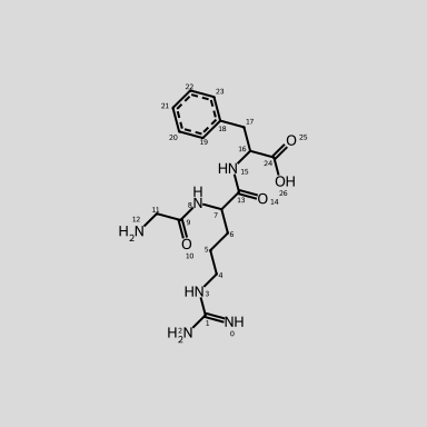 N=C(N)NCCCC(NC(=O)CN)C(=O)NC(Cc1ccccc1)C(=O)O